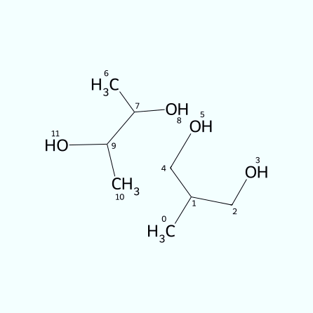 CC(CO)CO.CC(O)C(C)O